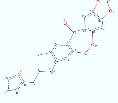 O=C1c2cc(F)c(NCCc3cccs3)cc2COc2cc3c(cc21)OCO3